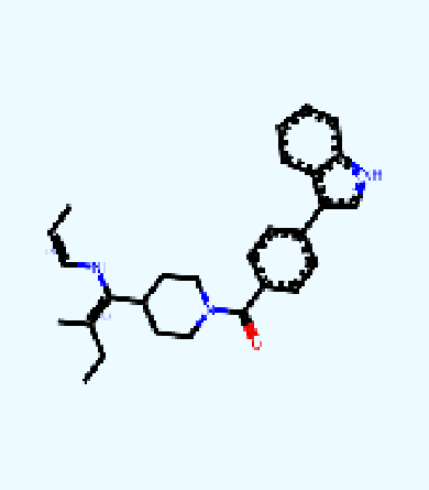 C/C=C\N/C(=C(\C)CC)C1CCN(C(=O)c2ccc(-c3c[nH]c4ccccc34)cc2)CC1